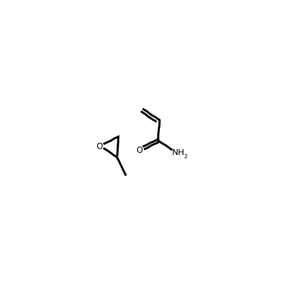 C=CC(N)=O.CC1CO1